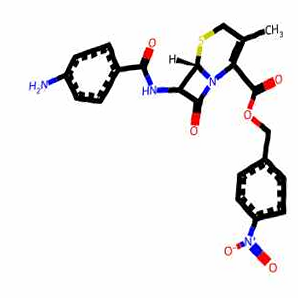 CC1=C(C(=O)OCc2ccc([N+](=O)[O-])cc2)N2C(=O)C(NC(=O)c3ccc(N)cc3)[C@@H]2SC1